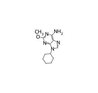 COc1nc(N)c2ncn(C3CCCCC3)c2n1